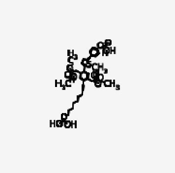 CCO[PH]1(Cc2cc(-c3ccc(-c4ccc(O[PH](=O)O)cc4)s3)c(C[PH]3(OCC)OC(C)O3)cc2C#CCCCCCCCOP(O)O)OC(C)O1